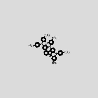 CC(C)(C)c1ccc(N(c2ccc(C(C)(C)C)cc2)c2ccc(N3c4ccc(C(C)(C)C)cc4B4c5cc(C(C)(C)C)ccc5N(c5ccc(C(C)(C)C)cc5)c5cccc3c54)c3c2C(C)(C)c2ccccc2-3)cc1